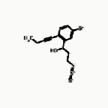 CCC#Cc1ccc(Br)cc1C(O)CCN=[N+]=[N-]